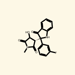 CN1C(=O)C(O)[C@H](C2(c3cccc(F)c3)Nc3ccccc3C2=O)C1=O